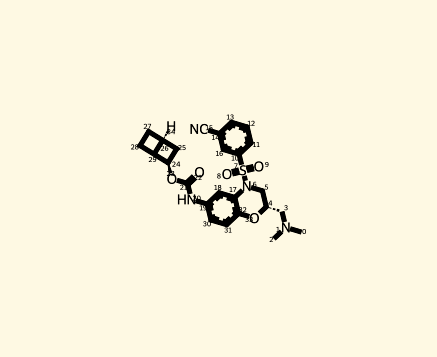 CN(C)C[C@H]1CN(S(=O)(=O)c2cccc(C#N)c2)c2cc(NC(=O)O[C@@H]3C[C@@H]4CCC43)ccc2O1